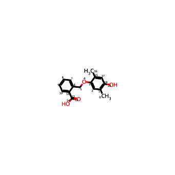 Cc1cc(OCc2ccccc2C(=O)O)c(C)cc1O